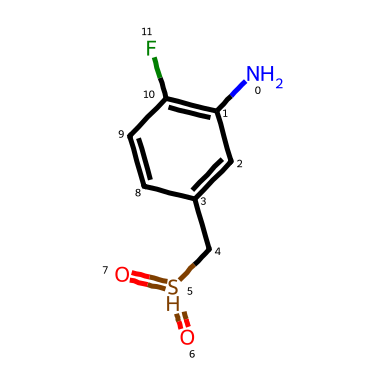 Nc1cc(C[SH](=O)=O)ccc1F